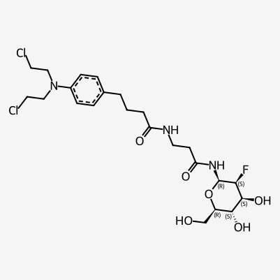 O=C(CCCc1ccc(N(CCCl)CCCl)cc1)NCCC(=O)N[C@@H]1O[C@H](CO)[C@@H](O)[C@H](O)[C@@H]1F